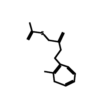 C=C(CCC1=C(C)CC=CC=C1)CSC(=C)C